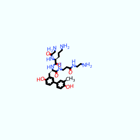 Cc1cc(-c2ccc(O)c(C[C@H](NC(=O)[C@H](CCCN)NC(=O)CN)C(=O)NCCC(=O)NCCN)c2)ccc1O